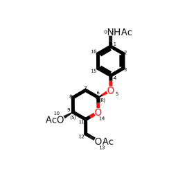 CC(=O)Nc1ccc(O[C@@H]2CC[C@H](OC(C)=O)C(COC(C)=O)O2)cc1